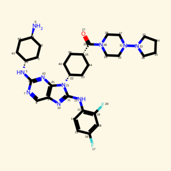 N[C@H]1CC[C@H](Nc2ncc3nc(Nc4ccc(F)cc4F)n([C@H]4CC[C@@H](C(=O)N5CCN(N6CCCC6)CC5)CC4)c3n2)CC1